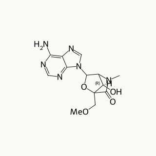 COCC12OC(n3cnc4c(N)ncnc43)C([C@H]1O)N(C)C2=O